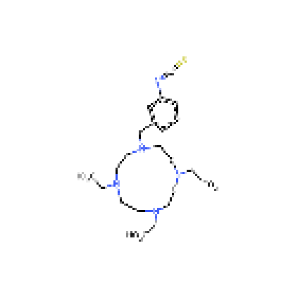 O=C(O)CN1CCN(CC(=O)O)CCN(Cc2cccc(N=C=S)c2)CCN(CC(=O)O)CC1